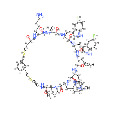 C[C@H]1NC(=O)[C@H](CCCCN)NC(=O)CCSCc2cccc(c2)CSCCNC(=O)[C@]2(C)CCCN2C(=O)[C@H](Cc2ccc(C#N)cc2)NC(=O)[C@H](Cc2c[nH]cn2)NC(=O)[C@H](CC(=O)O)NC(=O)[C@H](Cc2c[nH]c3ccc(F)cc23)NC(=O)[C@H](Cc2c[nH]c3ccc(F)cc23)NC1=O